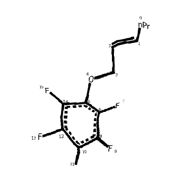 CCC/C=C/COc1c(F)c(F)c(C)c(F)c1F